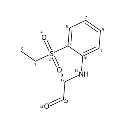 CCS(=O)(=O)c1ccccc1NC[C]=O